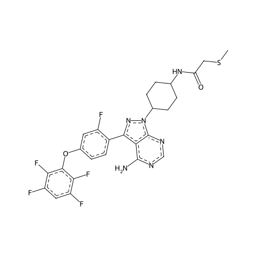 CSCC(=O)NC1CCC(n2nc(-c3ccc(Oc4c(F)c(F)cc(F)c4F)cc3F)c3c(N)ncnc32)CC1